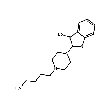 CCn1c(N2CCN(CCCCN)CC2)nc2ccccc21